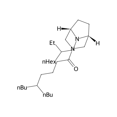 CCCCCCC(CC)CN1[C@@H]2CC[C@H]1CN(C(=O)CCCC(CCCC)CCCC)C2